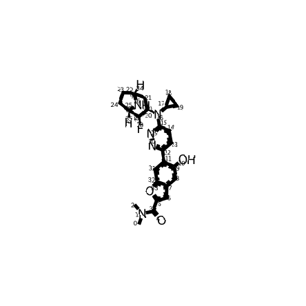 CN(C)C(=O)c1cc2cc(O)c(-c3ccc(N(C4CC4)[C@@H]4C[C@H]5CC[C@H](N5)[C@@H]4F)nn3)cc2o1